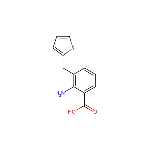 Nc1c(Cc2cccs2)cccc1C(=O)O